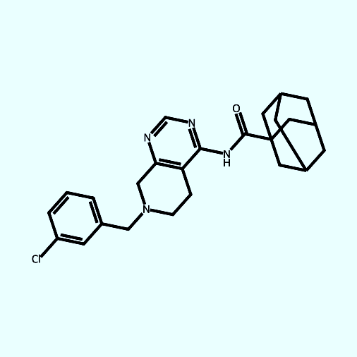 O=C(Nc1ncnc2c1CCN(Cc1cccc(Cl)c1)C2)C12CC3CC(CC(C3)C1)C2